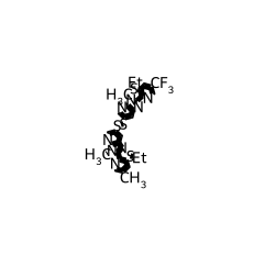 CCSc1cc(C)cnc1-c1nc2cc(SSc3cnc4c(c3)nc(-c3ncc(C(F)(F)F)cc3SCC)n4C)cnc2n1C